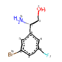 N[C@H](CO)c1cc(F)cc(Br)c1